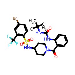 CC(C)(C)NC(=O)Nc1ccccc1C(=O)N1CCC(NS(=O)(=O)c2ccc(Br)cc2C(F)(F)F)CC1